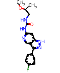 CO[C@@H](C)CNC(=O)Nc1cc2[nH]nc(-c3ccc(F)cc3)c2cn1